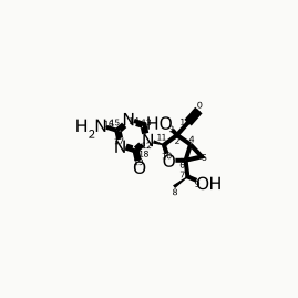 C#CC1(O)C2CC2([C@H](C)O)O[C@H]1n1cnc(N)nc1=O